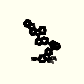 CC1(C)c2ccc(C#N)cc2-c2ccc(C34CC5CC(C3)CC(c3ccc6c(-n7c8ccccc8c8c9sc%10ccccc%10c9ccc87)cccc6c3)(C5)C4)cc21